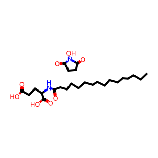 CCCCCCCCCCCCCCCC(=O)NC(CCC(=O)O)C(=O)O.O=C1CCC(=O)N1O